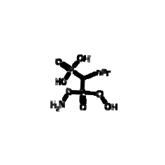 CCCC(P(=O)(O)O)P(=O)(ON)OO